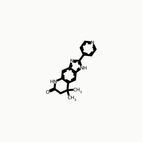 CC1(C)CC(=O)Nc2cc3nc(-c4ccncc4)[nH]c3cc21